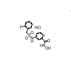 Cl.O=C(NO)c1cc(NS(=O)(=O)Cc2ccccc2F)ccn1